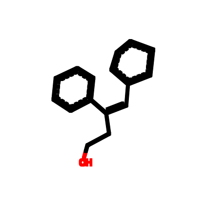 OCCC(=Cc1ccccc1)c1ccccc1